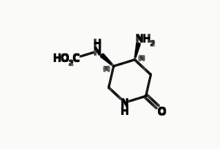 N[C@H]1CC(=O)NC[C@H]1NC(=O)O